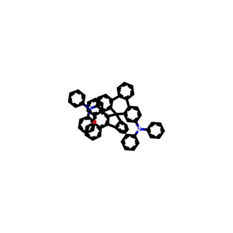 c1ccc(N(c2ccccc2)c2ccc3c(c2)C2(c4cc(N(c5ccccc5)c5ccccc5)ccc4-c4ccccc4-3)c3ccccc3-c3c2c2ccccc2c2ccccc32)cc1